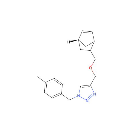 Cc1ccc(Cn2cc(COCC3C[C@@H]4C=CC3C4)nn2)cc1